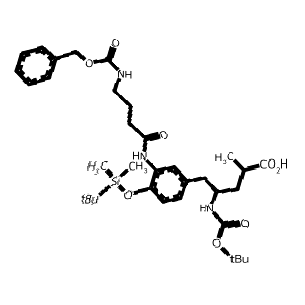 CC(CC(Cc1ccc(O[Si](C)(C)C(C)(C)C)c(NC(=O)CCCNC(=O)OCc2ccccc2)c1)NC(=O)OC(C)(C)C)C(=O)O